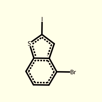 Brc1cccc2sc(I)cc12